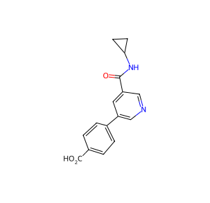 O=C(O)c1ccc(-c2cncc(C(=O)NC3CC3)c2)cc1